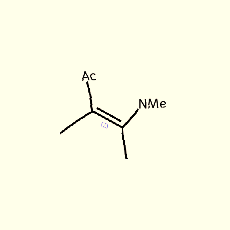 CN/C(C)=C(/C)C(C)=O